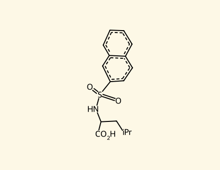 CC(C)CC(NS(=O)(=O)c1ccc2ccccc2c1)C(=O)O